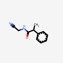 CC(C(=O)NCC#N)c1ccccc1